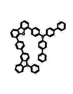 c1ccc(-c2ccc(N(c3ccc(-c4ccccc4)cc3)c3ccc(-c4cccc5c4oc4c(-c6ccc(-c7ccc8c(c7)c7ccccc7n8-c7ccccc7)cc6)cccc45)cc3)cc2)cc1